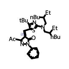 CCCCC(CC)CN(CC(CC)CCCC)c1nc(C(C)(C)C)c(/C=C2\C(=O)N(c3ccccc3)N=C2C(C)=O)s1